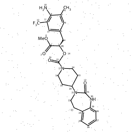 COC(=O)[C@@H](Cc1cc(C)c(N)c(C(F)(F)F)c1)OC(=O)N1CCC(N2CCc3ccccc3NC2=O)CC1